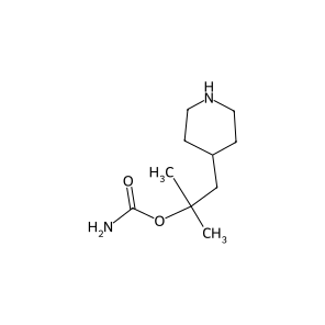 CC(C)(CC1CCNCC1)OC(N)=O